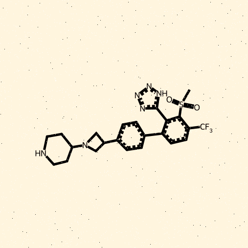 CS(=O)(=O)c1c(C(F)(F)F)ccc(-c2ccc(C3CN(C4CCNCC4)C3)cc2)c1-c1nnn[nH]1